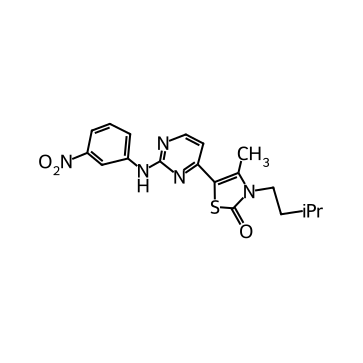 Cc1c(-c2ccnc(Nc3cccc([N+](=O)[O-])c3)n2)sc(=O)n1CCC(C)C